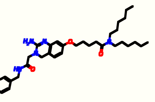 CCCCCCN(CCCCCC)C(=O)CCCCOc1ccc2c(c1)N=C(N)N(CC(=O)NCc1ccccc1)C2